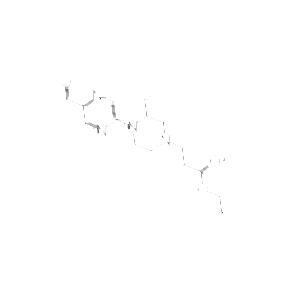 CCOC(=O)CCN1CCN(c2cnc(C=O)cn2)C(C)C1